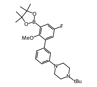 COc1c(B2OC(C)(C)C(C)(C)O2)cc(F)cc1-c1cccc(N2CCN(C(C)(C)C)CC2)c1